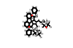 CC(C)(C)[Si](C)(OCCCC(c1nc2ccccc2s1)C1(C(CCO[Si](C)(C(C)(C)C)C(C)(C)C)c2nc3ccccc3s2)c2ccccc2-c2ccccc21)C(C)(C)C